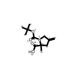 C=C1CN(C(=O)OC(C)(C)C)C(C)(C(=O)O)C1